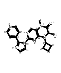 CCC1C(=O)N(C)c2cnc(-n3ccnc3-c3ccncc3)nc2N1C1CCC1